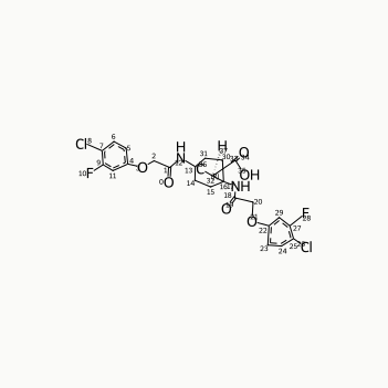 O=C(COc1ccc(Cl)c(F)c1)NC12CCC(NC(=O)COc3ccc(Cl)c(F)c3)(CC1)[C@H](C(=O)O)C2